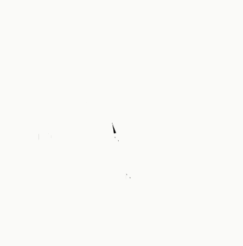 O[C@@H]1CC[C@@H]1[C@H]1c2ccc(F)cc2-c2cncn21